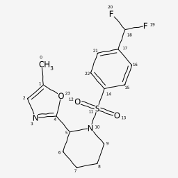 Cc1cnc(C2CCCCN2S(=O)(=O)c2ccc(C(F)F)cc2)o1